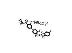 COc1cc(-c2ccc(Nc3nc4ccc(F)cc4s3)c(F)c2)ccc1C(=O)NC1CC1.O=C(O)O